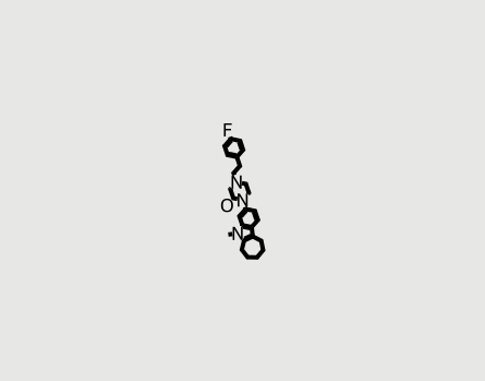 Cn1c2c(c3ccc(N4CCN(CCc5ccc(F)cc5)CC4=O)cc31)CCCCC2